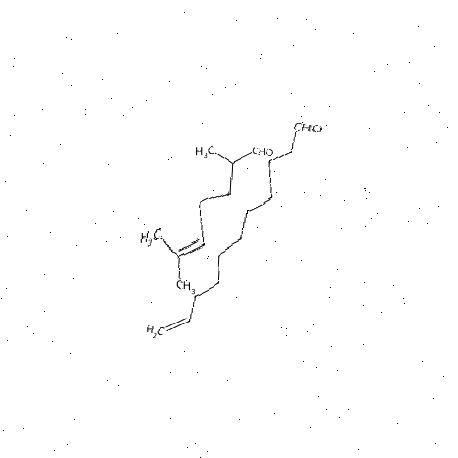 C=CCCCCCCCCC=O.CC(C)=CCCC(C)C=O